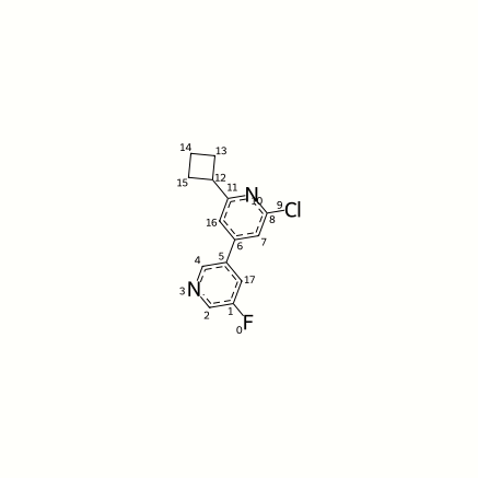 Fc1cncc(-c2cc(Cl)nc(C3CCC3)c2)c1